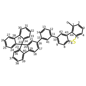 Cc1cccc2sc3ccc(-c4cccc(-c5ccc6c(c5)C5(c7ccccc7-c7ccccc75)c5ccccc5-6)c4)cc3c12